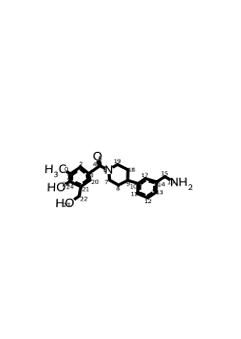 Cc1cc(C(=O)N2CCC(c3cccc(CN)c3)CC2)cc(CO)c1O